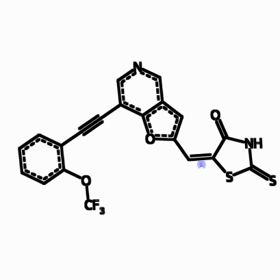 O=C1NC(=S)S/C1=C/c1cc2cncc(C#Cc3ccccc3OC(F)(F)F)c2o1